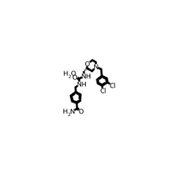 NC(=O)c1ccc(CNC(=O)NC[C@H]2CN(Cc3ccc(Cl)c(Cl)c3)CCO2)cc1.O